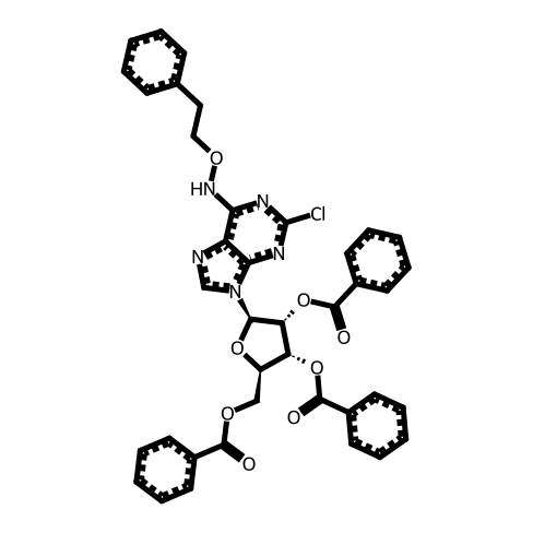 O=C(OC[C@H]1O[C@@H](n2cnc3c(NOCCc4ccccc4)nc(Cl)nc32)[C@H](OC(=O)c2ccccc2)[C@@H]1OC(=O)c1ccccc1)c1ccccc1